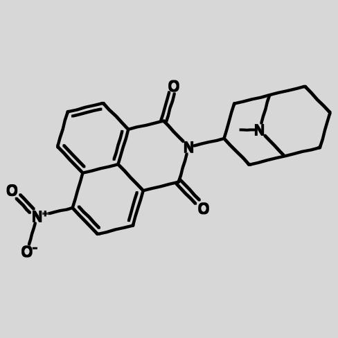 CN1C2CCCC1CC(N1C(=O)c3cccc4c([N+](=O)[O-])ccc(c34)C1=O)C2